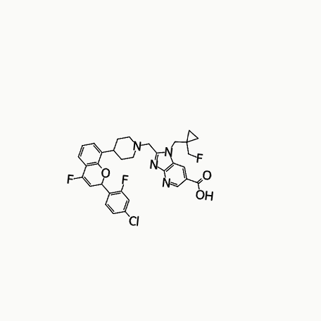 O=C(O)c1cnc2nc(CN3CCC(c4cccc5c4OC(c4ccc(Cl)cc4F)C=C5F)CC3)n(CC3(CF)CC3)c2c1